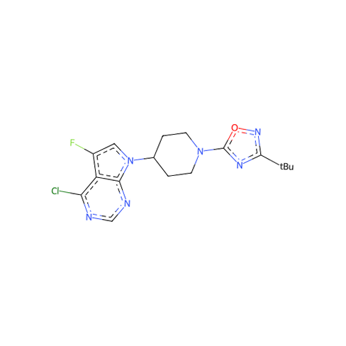 CC(C)(C)c1noc(N2CCC(n3cc(F)c4c(Cl)ncnc43)CC2)n1